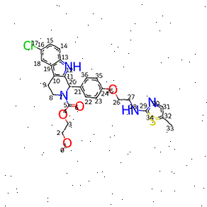 COCCOC(=O)N1CCc2c([nH]c3ccc(Cl)cc23)C1c1ccc(OCCNc2ncc(C)s2)cc1